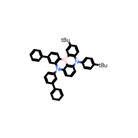 CC(C)(C)c1ccc(N2c3ccc(C(C)(C)C)cc3B3c4ccc(-c5ccccc5)cc4N(c4cccc(C5=CCCC=C5)c4)c4cccc2c43)cc1